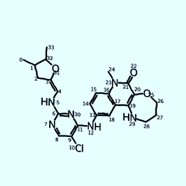 CC1C/C(=C\Nc2ncc(Cl)c(Nc3ccc4c(c3)c3c(c(=O)n4C)OCCCN3)n2)OC1C